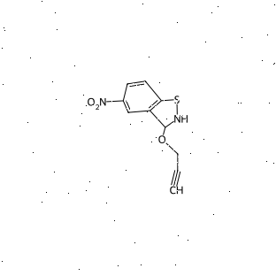 C#CCOC1NSc2ccc([N+](=O)[O-])cc21